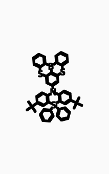 CC(C)(C)c1ccc2c(c1)[Si](c1ccccc1)(c1ccccc1)c1cc(C(C)(C)C)ccc1N2c1cc2c3c(c1)Sc1ccccc1B3c1ccccc1S2